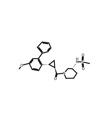 COc1ccc([C@@H]2C[C@H]2C(=O)N2CCC[C@@H](NS(C)(=O)=O)C2)c(-c2ccccc2)c1